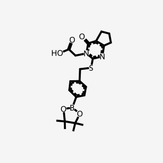 CC1(C)OB(c2ccc(CSc3nc4c(c(=O)n3CC(=O)O)CCC4)cc2)OC1(C)C